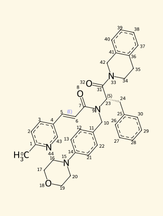 Cc1ccc(/C=C/C(=O)N(Cc2ccc(N3CCOCC3)cc2)[C@@H](Cc2ccccc2)C(=O)N2CCc3ccccc3C2)cn1